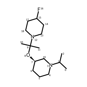 CC(C)N1CCC[C@@H](OC(C)(C)N2CCC(F)CC2)C1